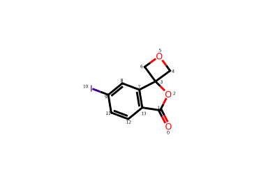 O=C1OC2(COC2)c2cc(I)ccc21